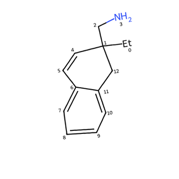 CCC1(CN)C=Cc2ccccc2C1